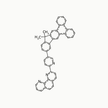 CC1(C)c2ccc(-c3ccc(-c4ccc5ccc6cccnc6c5n4)nc3)cc2-c2cc3c4ccccc4c4ccccc4c3cc21